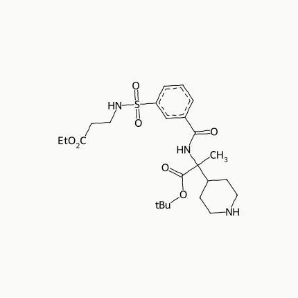 CCOC(=O)CCNS(=O)(=O)c1cccc(C(=O)NC(C)(C(=O)OC(C)(C)C)C2CCNCC2)c1